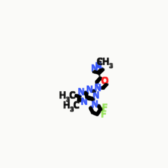 Cc1nc2nc(N3CCO[C@@H](c4cnn(C)c4)C3)nc(N3CCCC(F)(F)C3)c2nc1C